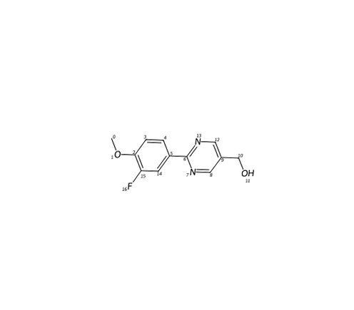 COc1ccc(-c2ncc(CO)cn2)cc1F